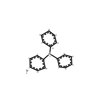 [Ir].c1ccc(N(c2ccccc2)c2ccccc2)cc1